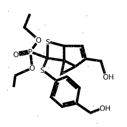 CCOP(=O)(OCC)C1(Sc2ccc(CO)cc2)SC2C=C(CO)C3CC231